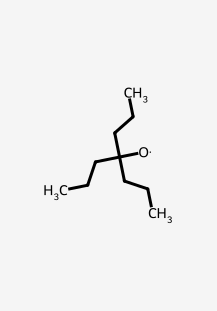 CCCC([O])(CCC)CCC